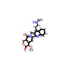 CCO[C@@H]1C(=O)OCc2c1cc1n(c2=O)Cc2c-1nc1ccccc1c2CCNC(C)C